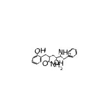 NC(=O)C(Cc1ccccc1O)CC(O)C(N)Cc1ccccc1